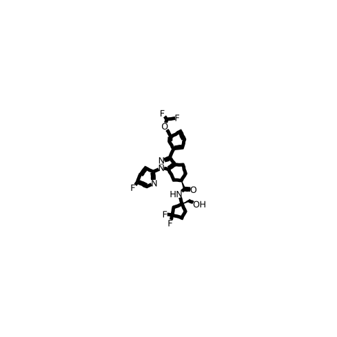 O=C(N[C@]1(CO)CCC(F)(F)C1)[C@@H]1CCc2c(-c3cccc(OC(F)F)c3)nn(-c3ccc(F)cn3)c2C1